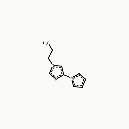 CCCn1cnc(-n2cccc2)c1